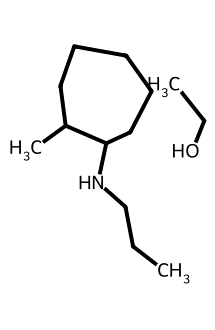 CCCNC1CCCCCC1C.CCO